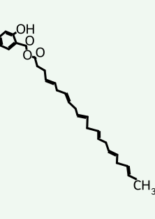 CCC=CCC=CCC=CCC=CCC=CCC=CCCC(=O)OC(=O)c1ccccc1O